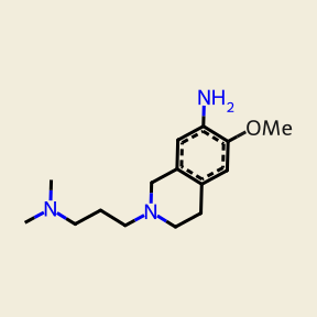 COc1cc2c(cc1N)CN(CCCN(C)C)CC2